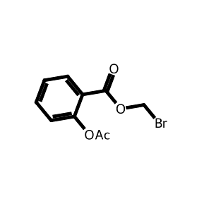 CC(=O)Oc1ccccc1C(=O)OCBr